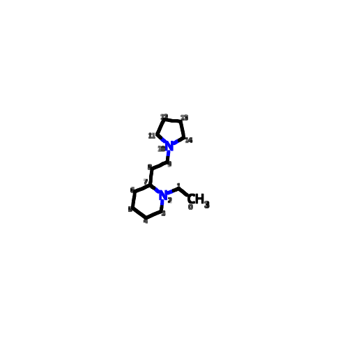 CCN1CCCCC1CCN1CCCC1